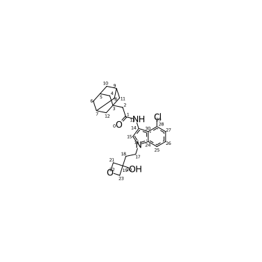 O=C(CC12CC3CC(CC(C3)C1)C2)Nc1cn(CCC2(O)COC2)c2cccc(Cl)c12